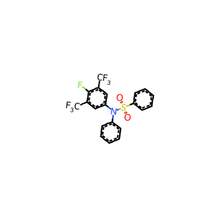 O=S(=O)(c1ccccc1)N(c1ccccc1)c1cc(C(F)(F)F)c(F)c(C(F)(F)F)c1